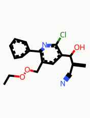 C=C(C#N)C(O)c1cc(COOCC)c(-c2ccccc2)nc1Cl